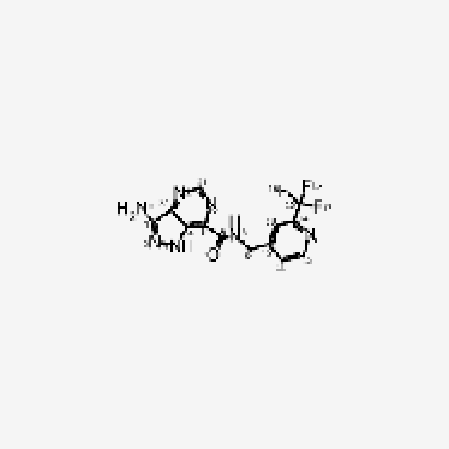 Nc1n[nH]c2c(C(=O)NCc3ccnc(C(F)(F)F)c3)ncnc12